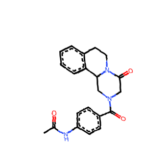 CC(=O)Nc1ccc(C(=O)N2CC(=O)N3CCc4ccccc4C3C2)cc1